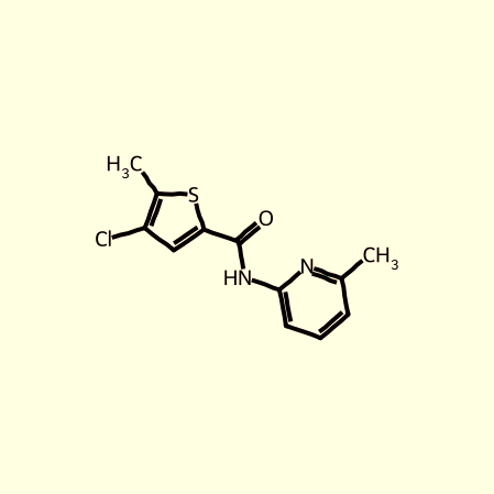 Cc1cccc(NC(=O)c2cc(Cl)c(C)s2)n1